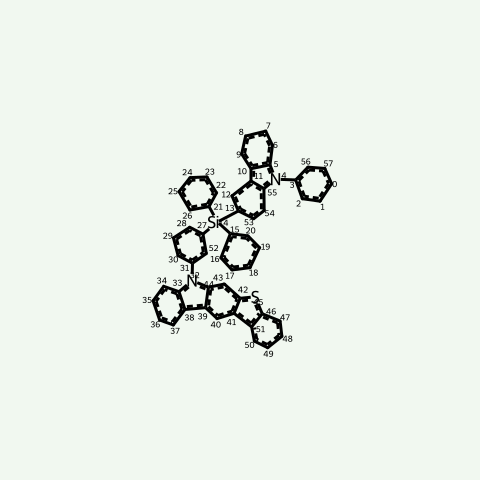 c1ccc(-n2c3ccccc3c3cc([Si](c4ccccc4)(c4ccccc4)c4cccc(-n5c6ccccc6c6cc7c(cc65)sc5ccccc57)c4)ccc32)cc1